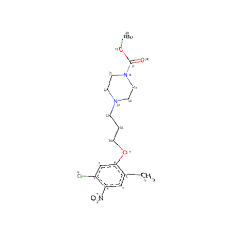 Cc1cc([N+](=O)[O-])c(Cl)cc1OCCCN1CCN(C(=O)OC(C)(C)C)CC1